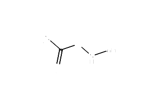 CCCNOC(N)=O